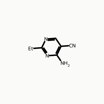 CCc1ncc(C#N)c(N)n1